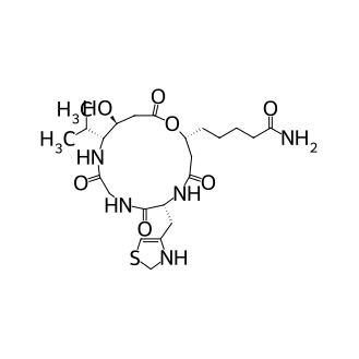 CC(C)[C@H]1NC(=O)CNC(=O)[C@@H](CC2=CSCN2)NC(=O)C[C@@H](CCCCC(N)=O)OC(=O)C[C@@H]1O